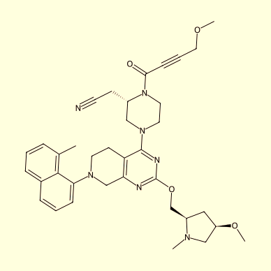 COCC#CC(=O)N1CCN(c2nc(OC[C@H]3C[C@@H](OC)CN3C)nc3c2CCN(c2cccc4cccc(C)c24)C3)C[C@@H]1CC#N